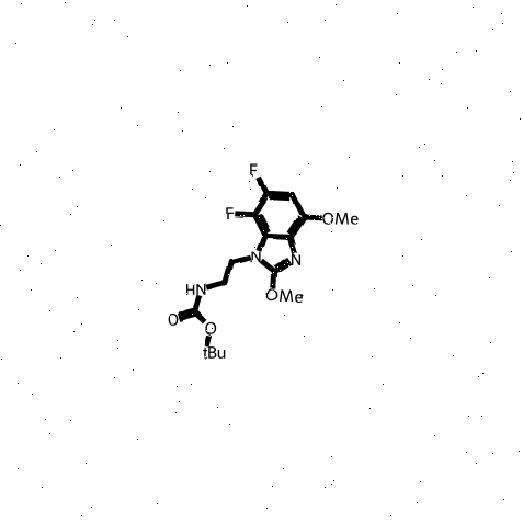 COc1cc(F)c(F)c2c1nc(OC)n2CCNC(=O)OC(C)(C)C